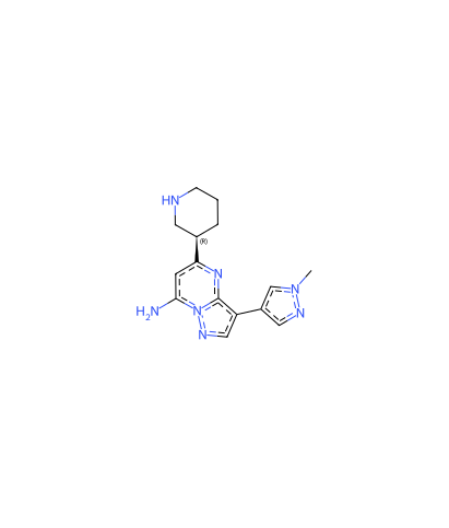 Cn1cc(-c2cnn3c(N)cc([C@@H]4CCCNC4)nc23)cn1